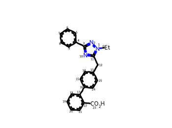 CCn1nc(-c2ccccc2)nc1Cc1ccc(-c2ccccc2C(=O)O)cc1